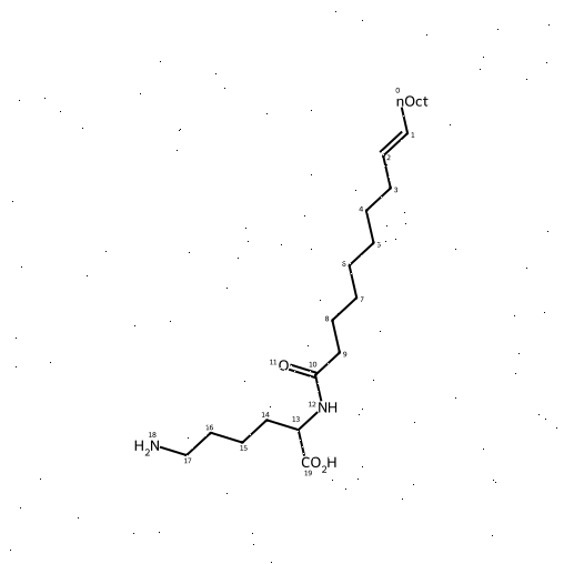 CCCCCCCCC=CCCCCCCCC(=O)NC(CCCCN)C(=O)O